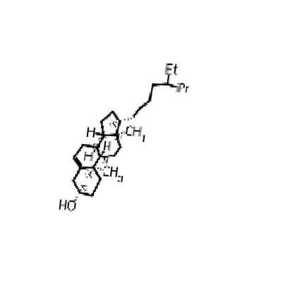 CCC(CCCC[C@H]1CC[C@H]2[C@@H]3CC=C4C[C@@H](O)CC[C@]4(C)[C@H]3CC[C@]12C)C(C)C